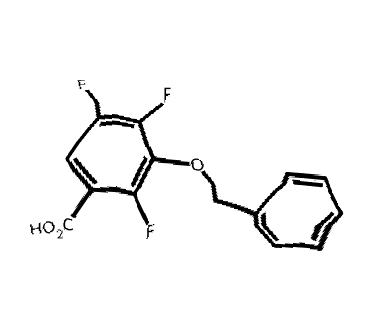 O=C(O)c1cc(F)c(F)c(OCc2ccccc2)c1F